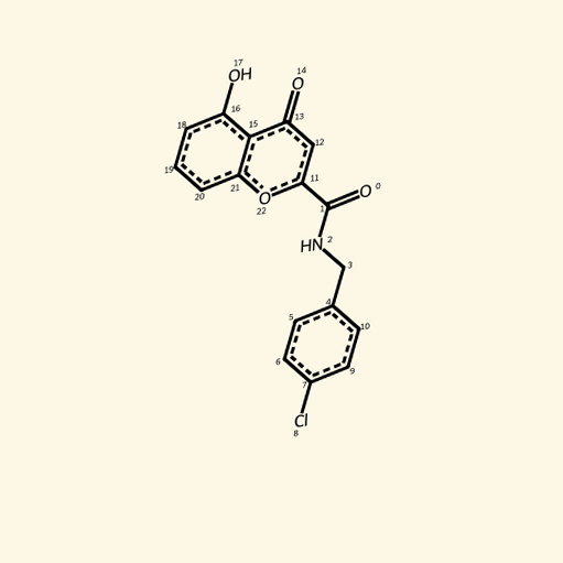 O=C(NCc1ccc(Cl)cc1)c1cc(=O)c2c(O)cccc2o1